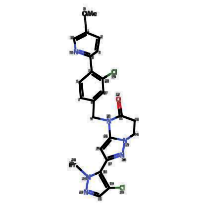 COc1ccc(-c2ccc(CN3C(=O)CCn4nc(-c5c(Cl)cnn5C(C)C)cc43)cc2Cl)nc1